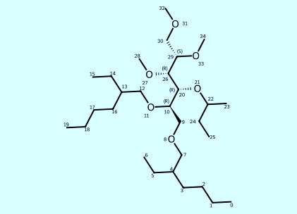 CCCCC(CC)COC[C@@H](OCC(CC)CCCC)[C@@H](OC(C)CC)[C@H](OC)[C@H](COC)OC